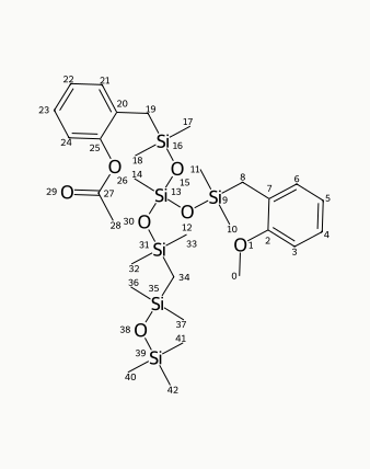 COc1ccccc1C[Si](C)(C)O[Si](C)(O[Si](C)(C)Cc1ccccc1OC(C)=O)O[Si](C)(C)C[Si](C)(C)O[Si](C)(C)C